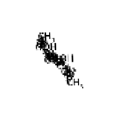 CC1CCC2(CC1)OC(=O)C(=C/C=C/C=C/C1=C(O)OC3(CCC4(CC3)OC(=O)C(=C/C=C/C=C/C3=C(O)OC5(CCC(C)CC5)OC3=O)C(=O)O4)OC1=O)C(=O)O2